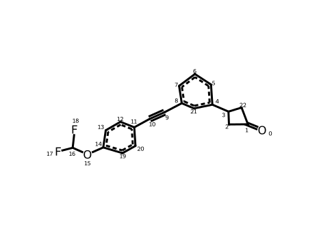 O=C1CC(c2cccc(C#Cc3ccc(OC(F)F)cc3)c2)C1